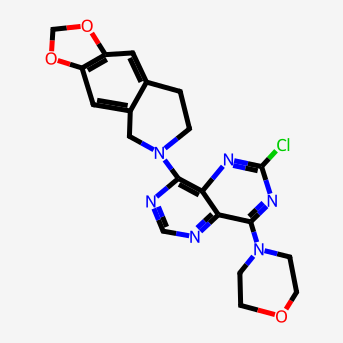 Clc1nc(N2CCOCC2)c2ncnc(N3CCc4cc5c(cc4C3)OCO5)c2n1